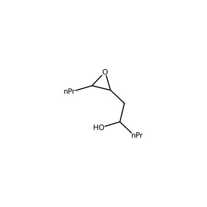 CCCC(O)CC1OC1CCC